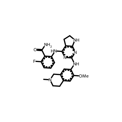 COc1cc2c(cc1Nc1nc3c(c(Nc4cccc(F)c4C(N)=O)n1)CCN3)CN(C)CC2